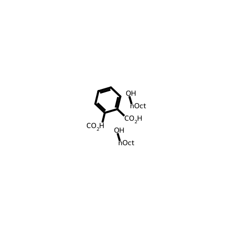 CCCCCCCCO.CCCCCCCCO.O=C(O)c1ccccc1C(=O)O